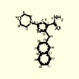 NC(=O)c1sc(N2CCOCC2)nc1Cc1ccc2ccccc2c1